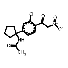 CC(=O)NC1(c2ccc(C(=O)C[N+](=O)[O-])c(Cl)c2)CCCC1